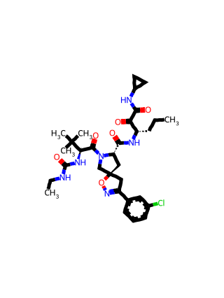 CCC[C@H](NC(=O)[C@@H]1C[C@]2(CC(c3cccc(Cl)c3)=NO2)CN1C(=O)[C@@H](NC(=O)NCC)C(C)(C)C)C(=O)C(=O)NC1CC1